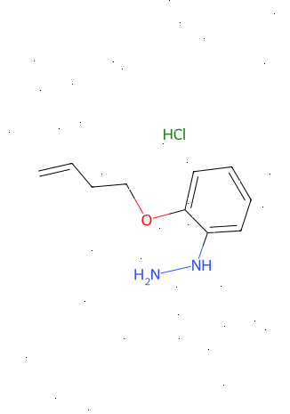 C=CCCOc1ccccc1NN.Cl